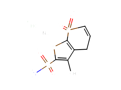 Cc1c(S(N)(=O)=O)sc2c1CC=CS2(=O)=O.Cl.[Cl-].[Na+]